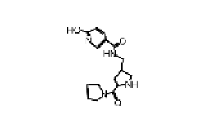 O=C(NCC1CNC(C(=O)N2CCCC2)C1)c1ccc(O)nc1